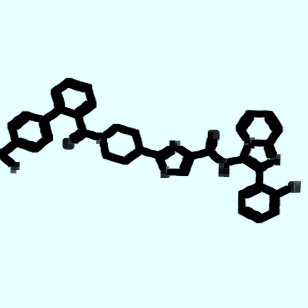 O=C(Nc1c(-c2ccccc2Cl)nc2ccccn12)c1csc(C2CCN(C(=O)c3ccccc3-c3ccc(C(F)(F)F)cc3)CC2)n1